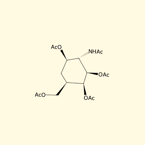 CC(=O)N[C@@H]1[C@@H](OC(C)=O)[C@@H](OC(C)=O)[C@@H](COC(C)=O)C[C@H]1OC(C)=O